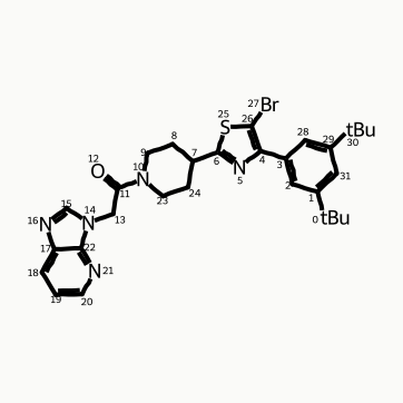 CC(C)(C)c1cc(-c2nc(C3CCN(C(=O)Cn4cnc5cccnc54)CC3)sc2Br)cc(C(C)(C)C)c1